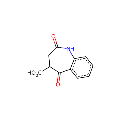 O=C1CC(C(=O)O)C(=O)c2ccccc2N1